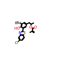 C=C(C)C(=O)OC(C)Cc1cc(-c2nc3cc(Cl)ccc3s2)c(O)c(C(C)(C)C)c1